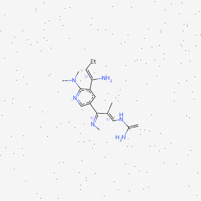 C=C(N)N/C=C(C)/C(=N\C)c1cnc(N(C)C)c(/C(N)=C/CC)c1